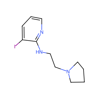 Ic1cccnc1NCCN1CCCC1